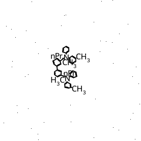 CCCC(C)(c1cccc(-c2cccc(C(C)(CCC)N(c3ccccc3)c3cccc(C)c3)c2)c1)N(c1ccccc1)c1cccc(C)c1